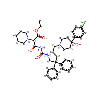 CCOC(=O)C(C(=O)NC(=O)NCC(CCCN1CCC(O)(c2ccc(Cl)cc2)CC1)(c1ccccc1)c1ccccc1)N1CCCCC1